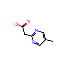 Cc1cnc(CC(=O)O)nc1